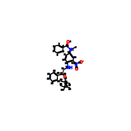 CN(C(=O)c1ccccc1)c1ccc(NC[C@H](O[Si](C)(C)C(C)(C)C)c2ccccc2)c([N+](=O)[O-])c1